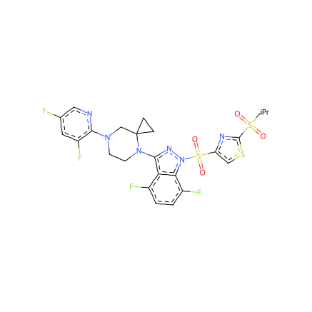 CC(C)S(=O)(=O)c1nc(S(=O)(=O)n2nc(N3CCN(c4ncc(F)cc4F)CC34CC4)c3c(F)ccc(F)c32)cs1